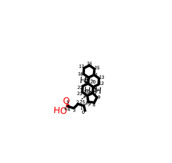 CC(CCC(=O)O)[C@H]1CC[C@H]2[C@@H]3CCC4CCCC[C@]4(C)[C@H]3CC[C@]12C